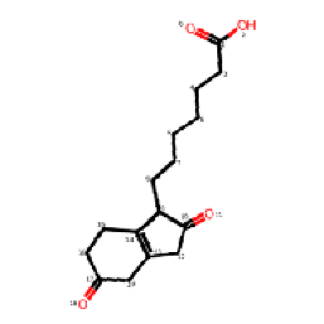 O=C(O)CCCCCCC1C(=O)CC2=C1CCC(=O)C2